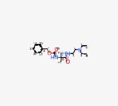 CCN(CC)CCNC(=O)C(C)(C)NC(=O)OCc1ccccc1